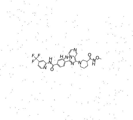 CONC(=O)C1CCCN(C2=C3C=NC=C[N+]3(N)C(c3ccc(C(=O)Nc4cc(C(F)(F)F)ccn4)cc3)=N2)C1